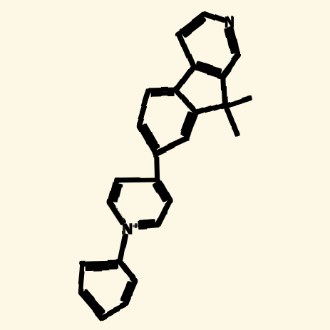 CC1(C)c2cnccc2-c2ccc(-c3cc[n+](-c4ccccc4)cc3)cc21